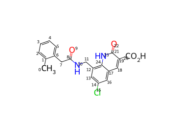 Cc1ccccc1CC(=O)NCc1cc(Cl)cc2cc(C(=O)O)c(=O)[nH]c12